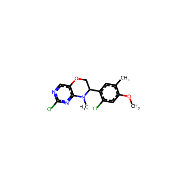 COc1cc(Cl)c(C2COc3cnc(Cl)nc3N2C)cc1C